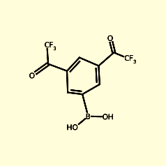 O=C(c1cc(B(O)O)cc(C(=O)C(F)(F)F)c1)C(F)(F)F